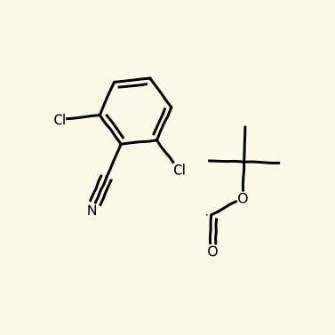 CC(C)(C)O[C]=O.N#Cc1c(Cl)cccc1Cl